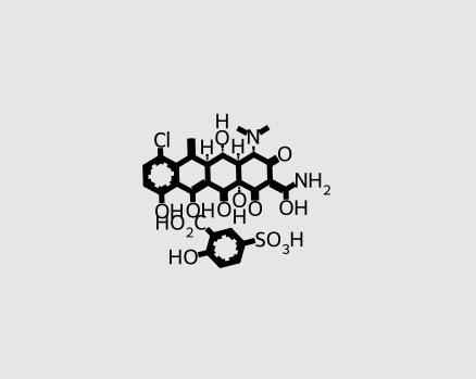 C=C1c2c(Cl)ccc(O)c2C(O)=C2C(=O)[C@]3(O)C(=O)/C(=C(/N)O)C(=O)[C@@H](N(C)C)[C@@H]3[C@@H](O)[C@H]12.O=C(O)c1cc(S(=O)(=O)O)ccc1O